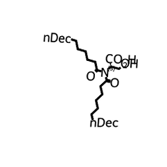 CCCCCCCCCCCCCCCC(=O)N(C(=O)CCCCCCCCCCCCCCC)[C@@H](CO)C(=O)O